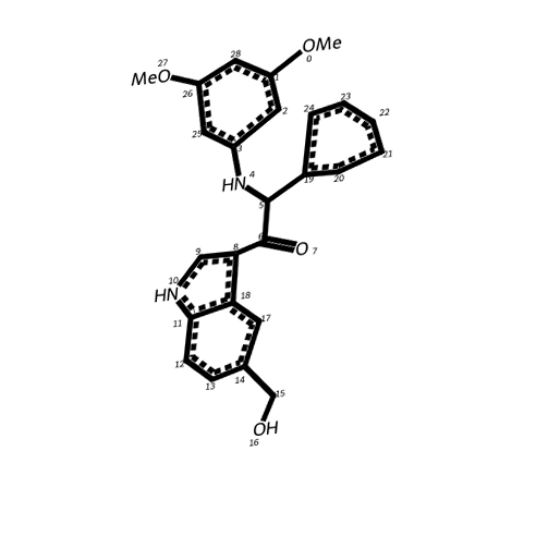 COc1cc(NC(C(=O)c2c[nH]c3ccc(CO)cc23)c2ccccc2)cc(OC)c1